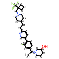 C=C(c1ccc(-c2ccc(CCC3CCN(CC4(C(F)(F)F)CCC4)CC3)nc2)c(F)c1)N1CCCC(O)C1